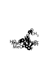 COCOc1cc(C(=O)c2nc3nc(OC[C@@H]4CCC(=O)N4C)nc(N4CC5CC(OC)C(C4)N5C(=O)O)c3n2C2CCC2)c2c(C#C[Si](C(C)C)(C(C)C)C(C)C)c(F)ccc2c1